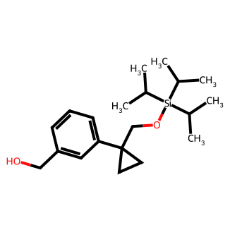 CC(C)[Si](OCC1(c2cccc(CO)c2)CC1)(C(C)C)C(C)C